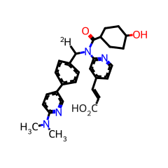 [2H]C(c1ccc(-c2ccc(N(C)C)nc2)cc1)N(C(=O)C1CCC(O)CC1)c1cc(C=CC(=O)O)ccn1